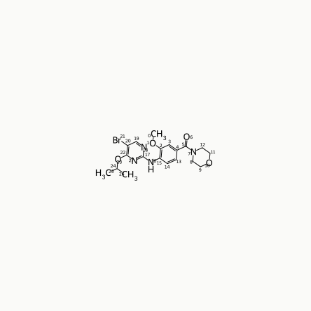 COc1cc(C(=O)N2CCOCC2)ccc1Nc1ncc(Br)c(OC(C)C)n1